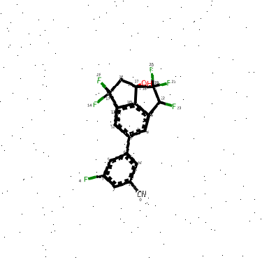 N#Cc1cc(F)cc(-c2cc3c4c(c2)C(F)(F)CC4(O)C(F)(F)C3F)c1